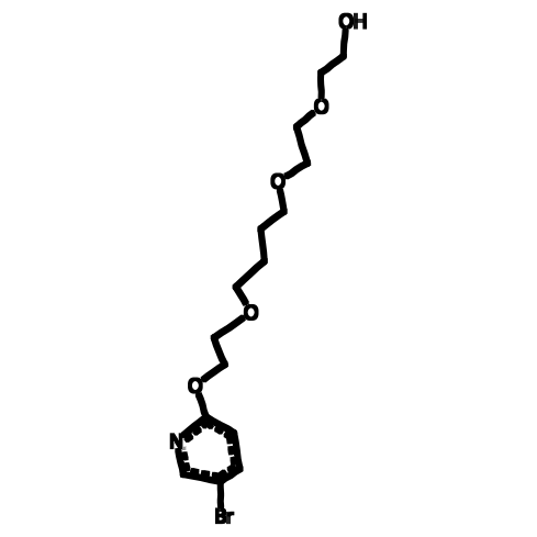 OCCOCCOCCCCOCCOc1ccc(Br)cn1